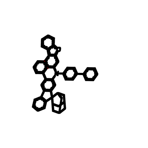 c1ccc(-c2ccc(N(c3ccc4c(c3)oc3ccccc34)c3cc4c(cc3-c3ccccc3)-c3ccccc3C43C4CC5CC(C4)CC3C5)cc2)cc1